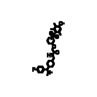 COc1cc(C)c(S(=O)(=O)N2CCCC(OCC(=O)NCC3CCC(C(c4ccc(F)cc4)N(C)C)CC3)C2)c(C)c1C